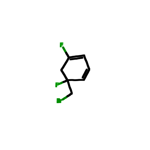 FC1=CC=CC(F)(CBr)C1